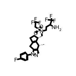 C[C@H]1C2=C(CC[C@@H]2CN(CCC(N)C(F)(F)F)S(=O)(=O)CC(F)(F)F)Cc2c1cnn2-c1ccc(F)cc1